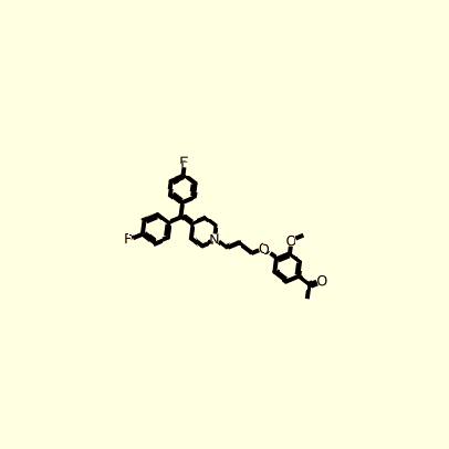 COc1cc(C(C)=O)ccc1OCCCN1CCC(=C(c2ccc(F)cc2)c2ccc(F)cc2)CC1